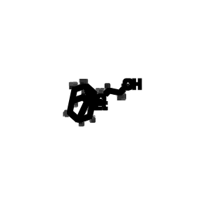 CCC12CC3CC(C1)C(OCCO)C(C3)C2